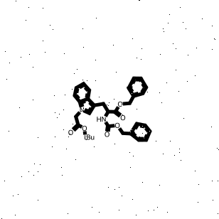 CC(C)(C)OC(=O)Cn1cc(CC(NC(=O)OCc2ccccc2)C(=O)OCc2ccccc2)c2ccccc21